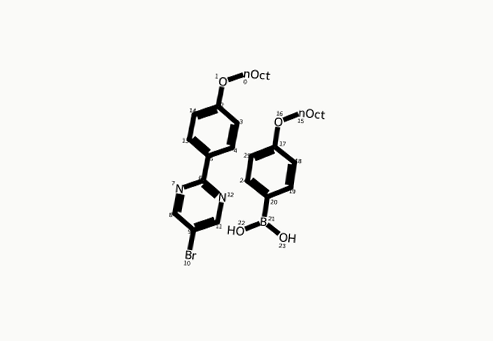 CCCCCCCCOc1ccc(-c2ncc(Br)cn2)cc1.CCCCCCCCOc1ccc(B(O)O)cc1